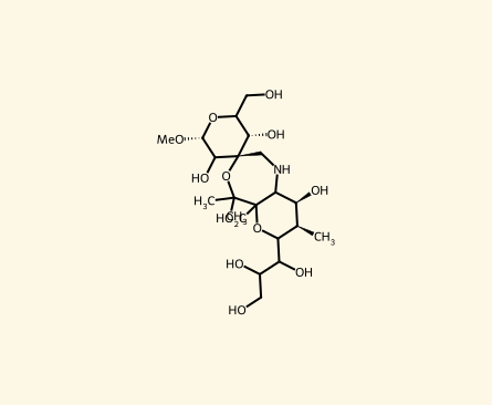 CO[C@@H]1OC(CO)[C@H](O)[C@@]2(CNC3[C@@H](O)[C@@H](C)C(C(O)C(O)CO)OC3(C(=O)O)C(C)(C)O2)C1O